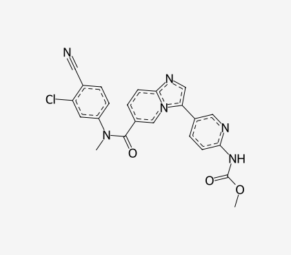 COC(=O)Nc1ccc(-c2cnc3ccc(C(=O)N(C)c4ccc(C#N)c(Cl)c4)cn23)cn1